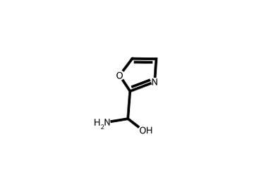 NC(O)c1ncco1